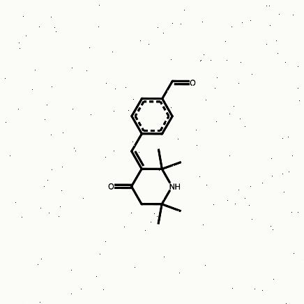 CC1(C)CC(=O)C(=Cc2ccc(C=O)cc2)C(C)(C)N1